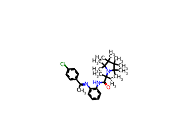 C/C(=N\c1ccccc1NC(=O)C(C)(C)N1C(C)(C)C(C)(C)C(C)(C)C1(C)C)c1ccc(Cl)cc1